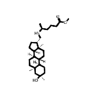 COC(=O)CCCC(C)NC[C@H]1CC[C@H]2[C@@H]3CC[C@]4(C)C[C@](C)(O)CC[C@@H]4[C@H]3CC[C@]12C